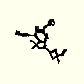 CNc1nc(Cl)nc2c1C(C)(C)CN2C1CC(F)(F)C1